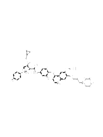 COc1cc2c(Oc3ccc(NC(=O)c4nn(-c5ccc(F)cc5)cc4OCC4CC4)cc3F)ccnc2cc1OCCCN1CCOCC1